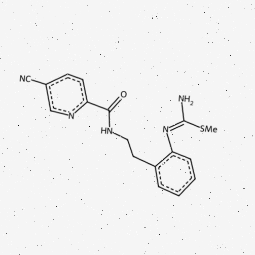 CS/C(N)=N\c1ccccc1CCNC(=O)c1ccc(C#N)cn1